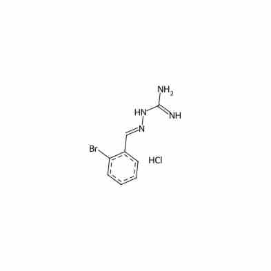 Cl.N=C(N)N/N=C/c1ccccc1Br